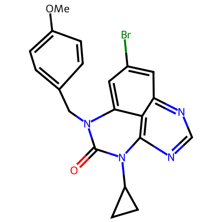 COc1ccc(CN2C(=O)N(C3CC3)c3ncnc4cc(Br)cc2c34)cc1